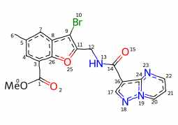 COC(=O)c1cc(C)cc2c(Br)c(CNC(=O)c3cnn4cccnc34)oc12